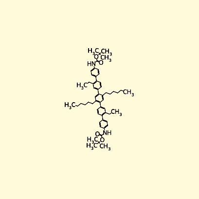 CCCCCCc1cc(-c2ccc(-c3ccc(NC(=O)OC(C)(C)C)cc3)c(CC)c2)c(CCCCCC)cc1-c1ccc(-c2ccc(NC(=O)OC(C)(C)C)cc2)c(CC)c1